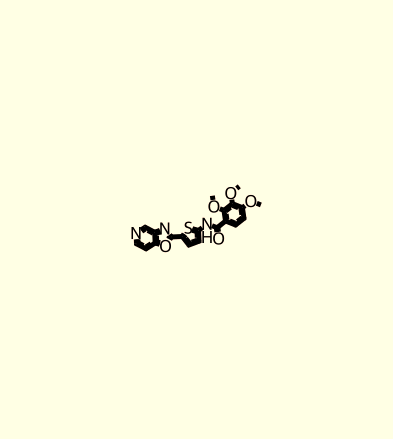 COc1ccc(C(=O)Nc2ccc(-c3nc4cnccc4o3)s2)c(OC)c1OC